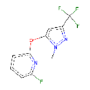 Cn1nc(C(F)(F)F)cc1Oc1cccc(F)n1